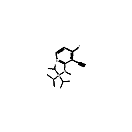 C#Cc1c(F)ccnc1N(C)S(C(C)C)(C(C)C)C(C)C